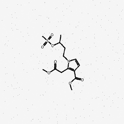 COC(=O)Cc1c(C(=O)OC)ccn1CCC(C)OS(C)(=O)=O